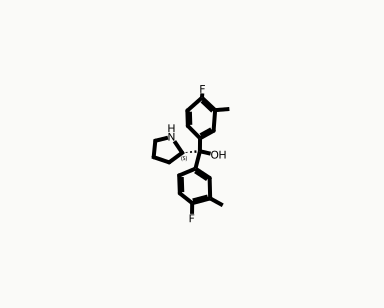 Cc1cc(C(O)(c2ccc(F)c(C)c2)[C@@H]2CCCN2)ccc1F